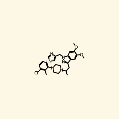 COc1cc2c(CC(C)N3CCN(c4cccc(Cl)c4C)CC3)nn(Cc3c[nH]cn3)c2cc1OC